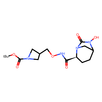 CC(C)(C)OC(=O)N1CC(CONC(=O)[C@@H]2CCC3CN2C(=O)N3O)C1